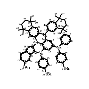 CC(C)(C)c1ccc(N(c2ccccc2)c2cc3c4c(c2)N(c2ccc(C(C)(C)C)cc2)c2c(sc5ccc(C(C)(C)C)cc25)B4c2cc4c(cc2N3c2ccc3c(c2)C(C)(C)CCC3(C)C)C(C)(C)CCC4(C)C)cc1